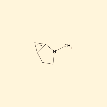 CN1CCC2C=C21